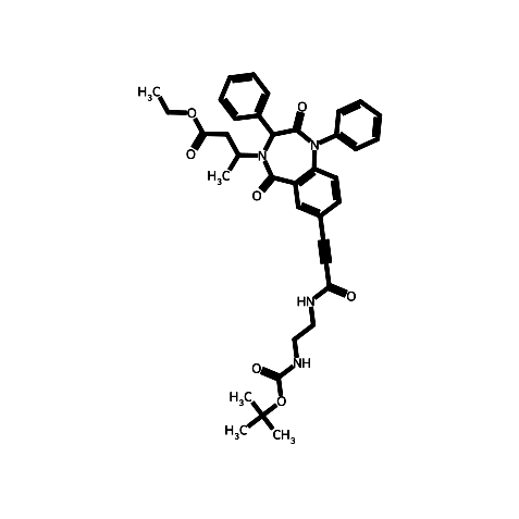 CCOC(=O)CC(C)N1C(=O)c2cc(C#CC(=O)NCCNC(=O)OC(C)(C)C)ccc2N(c2ccccc2)C(=O)C1c1ccccc1